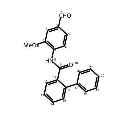 COc1cc([C]=O)ccc1NC(=O)c1ccccc1-c1ccccc1